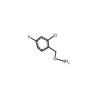 NOCc1ccc(F)cc1Cl